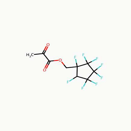 CC(=O)C(=O)OCC1(F)C(F)C(F)(F)C(F)(F)C1(F)F